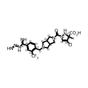 CC1(C(=O)O)NN(C(=O)N2CC3CN(Cc4ccc(C(=N)NN=N)cc4C(F)(F)F)CC3C2)C=C1Cl